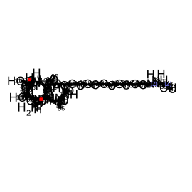 CC[C@@H]1Cc2c([nH]c3c(CSCCOCCOCCOCCOCCOCCOCCOCCOCCOCCOCCOCCN/C=C(\N)CNC(O)/C=C\C=O)c(OC)ccc23)[S+]([O-])CC(NC(=O)CNCC(NC(=O)CNC(=O)I)[C@@H](C)CC)C(=O)NC(CC(N)=O)C(=O)N2C[C@H](O)CC2C(=O)NC([C@@H](C)[C@@H](O)CO)C(=O)N1